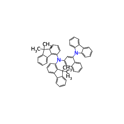 CC1(C)c2ccccc2-c2c(N(c3cc(-n4c5ccccc5c5ccccc54)c4ccccc4c3)c3cccc4c3C(C)(C)c3ccccc3-4)cccc21